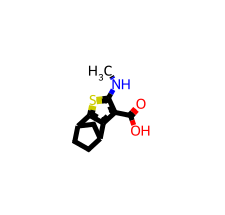 CNc1sc2c(c1C(=O)O)C1CCC2C1